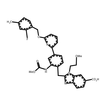 COCCn1c(Cc2ccc(-c3cccc(OCc4ccc(C)cc4F)n3)cc2NC(=O)OC)nc2ccc(C(=O)O)cc21